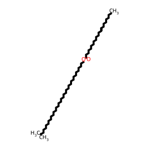 CCCCCCCCC=CCCCCCCCCCCCC(=O)OCCCCCCCCCCCCCCCCCCCCCCCCCCCCCCCCCC(C)C